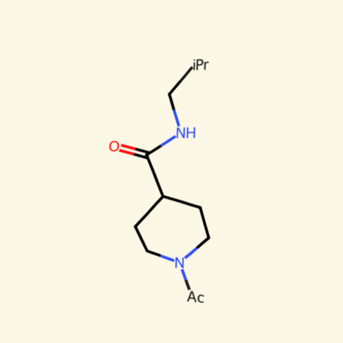 CC(=O)N1CCC(C(=O)NCC(C)C)CC1